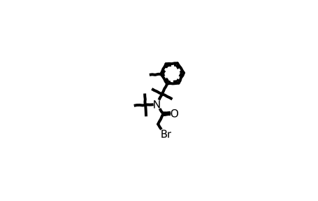 Cc1ccccc1C(C)(C)N(C(=O)CBr)C(C)(C)C